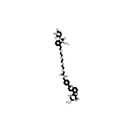 C[C@@H]1CNc2c(sc3ccc4nc(-c5ccc(CNC(=O)COCCOCCOCCOCCc6cccc7c6n(C)c(=O)n7C6CCC(=O)NC6=O)cc5)ccc4c23)C(=O)N1